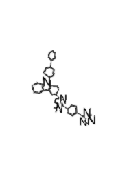 c1ccc(-c2ccc(-n3c4ccccc4c4cc(-c5nc(-c6ccc(-c7ncncn7)cc6)ns5)ccc43)cc2)cc1